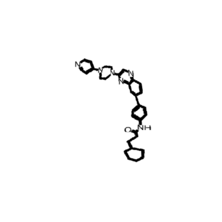 O=C(CCC1CCCCC1)Nc1ccc(-c2ccc3ncc(N4CCN(c5ccncc5)CC4)nc3c2)cc1